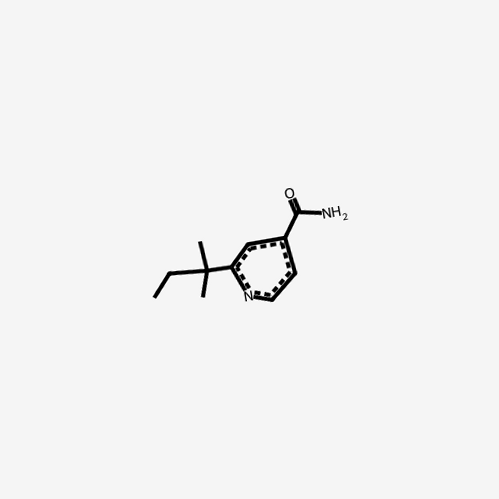 CCC(C)(C)c1cc(C(N)=O)ccn1